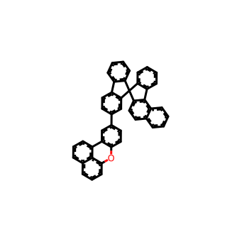 c1ccc2c(c1)-c1ccc(-c3ccc4c(c3)-c3cccc5cccc(c35)O4)cc1C21c2ccccc2-c2c1ccc1ccccc21